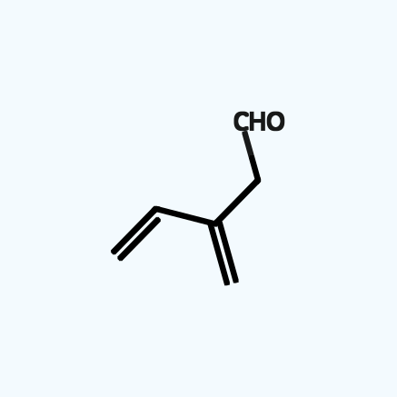 C=CC(=C)CC=O